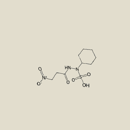 O=C(CC[N+](=O)[O-])NN(C1CCCCC1)S(=O)(=O)O